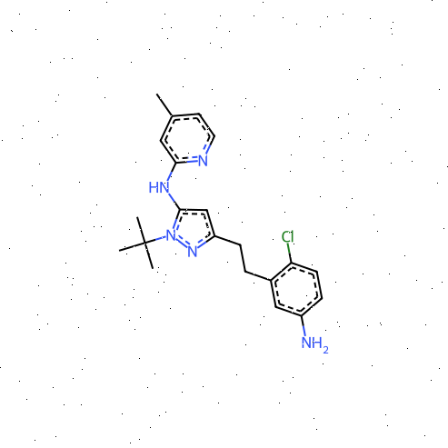 Cc1ccnc(Nc2cc(CCc3cc(N)ccc3Cl)nn2C(C)(C)C)c1